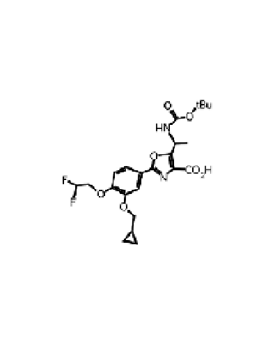 CC(NC(=O)OC(C)(C)C)c1oc(-c2ccc(OCC(F)F)c(OCC3CC3)c2)nc1C(=O)O